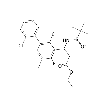 CCOC(=O)CC(N[S@+]([O-])C(C)(C)C)c1c(F)c(C)cc(-c2ccccc2Cl)c1Cl